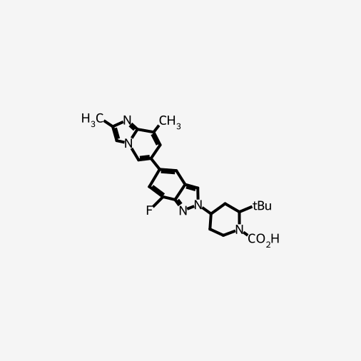 Cc1cn2cc(-c3cc(F)c4nn(C5CCN(C(=O)O)C(C(C)(C)C)C5)cc4c3)cc(C)c2n1